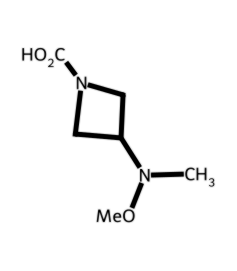 CON(C)C1CN(C(=O)O)C1